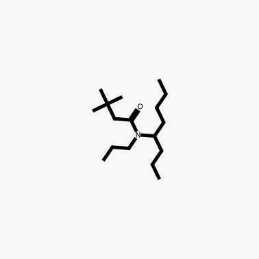 CCCCC(CCC)N(CCC)C(=O)CC(C)(C)C